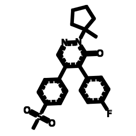 CC1(n2ncc(-c3ccc(S(C)(=O)=O)cc3)c(-c3ccc(F)cc3)c2=O)CCCC1